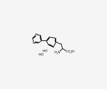 CCOC(=O)C(N)Cc1ccc(-c2cncnc2)cc1.Cl.Cl